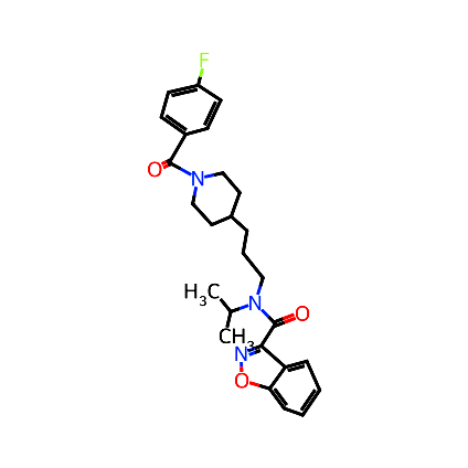 CC(C)N(CCCC1CCN(C(=O)c2ccc(F)cc2)CC1)C(=O)c1noc2ccccc12